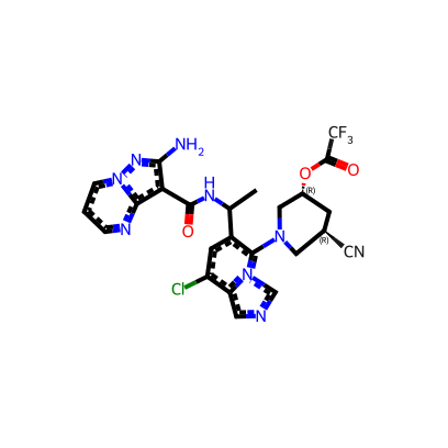 CC(NC(=O)c1c(N)nn2cccnc12)c1cc(Cl)c2cncn2c1N1C[C@H](C#N)C[C@@H](OC(=O)C(F)(F)F)C1